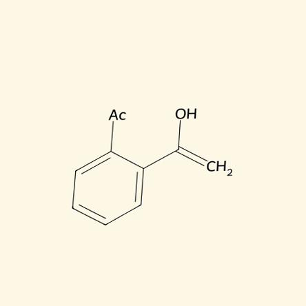 C=C(O)c1ccccc1C(C)=O